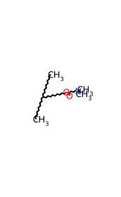 CCCCCCCCCCC(CCCCCCCCCC)CCCCCCCCCOC(=O)CCCN(C)C